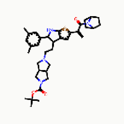 C=C(C(=O)N1C2CCC1CC2)c1cc2c(s1)NC(c1cc(C)cc(C)c1)C2CCN1CC2CN(C(=O)OC(C)(C)C)CC2C1